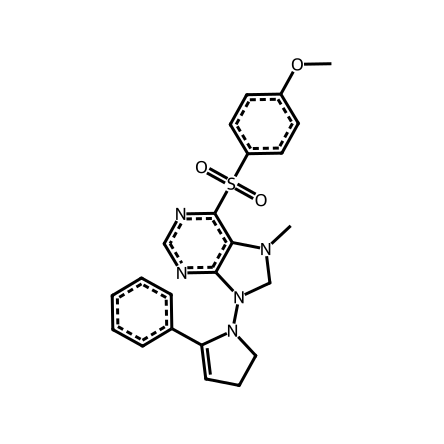 COc1ccc(S(=O)(=O)c2ncnc3c2N(C)CN3N2CCC=C2c2ccccc2)cc1